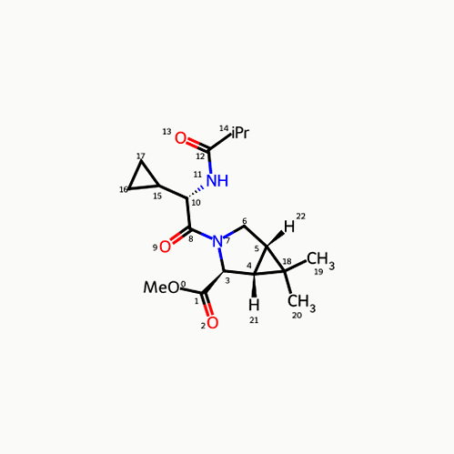 COC(=O)[C@@H]1[C@@H]2[C@H](CN1C(=O)[C@@H](NC(=O)C(C)C)C1CC1)C2(C)C